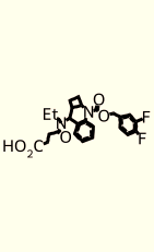 CCN(C(=O)CCC(=O)O)C1c2ccccc2N(C(=O)OCc2ccc(F)c(F)c2)C2CCC12